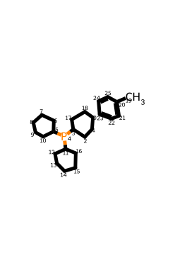 C1CCC(P(C2CCCCC2)C2CCCCC2)CC1.Cc1ccccc1